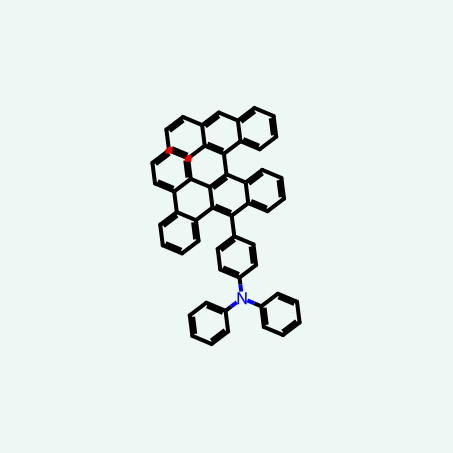 c1ccc(N(c2ccccc2)c2ccc(-c3c4ccccc4c(-c4c5ccccc5cc5ccccc45)c4c5ccccc5c5ccccc5c34)cc2)cc1